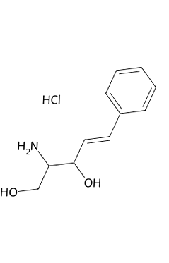 Cl.NC(CO)C(O)C=Cc1ccccc1